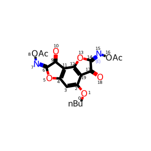 CCCCOc1cc2oc(=NOC(C)=O)c(=O)c2c2o/c(=N/OC(C)=O)c(=O)c12